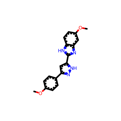 COc1ccc(-c2cc(-c3nc4cc(OC)ccc4[nH]3)[nH]n2)cc1